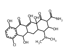 CN(C)C1C(O)C(C(N)=O)C(=O)C2(O)C(O)=C3C(=O)c4c(O)ccc(Cl)c4C(O)C3CC12